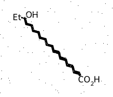 CC[C@@H](O)CCCCCCCCC=CC=CC=CC=CC(=O)O